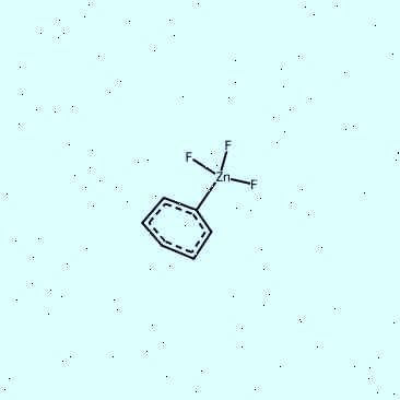 [F][Zn]([F])([F])[c]1ccccc1